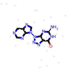 Nc1nc2c(nnn2-n2cnc3cncnc32)c(=O)[nH]1